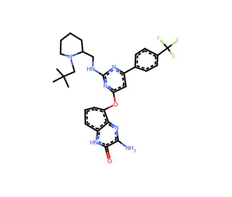 CC(C)(C)CN1CCCCC1CNc1nc(Oc2cccc3[nH]c(=O)c(N)nc23)cc(-c2ccc(C(F)(F)F)cc2)n1